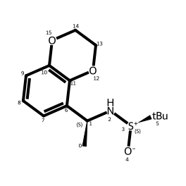 C[C@H](N[S@+]([O-])C(C)(C)C)c1cccc2c1OCCO2